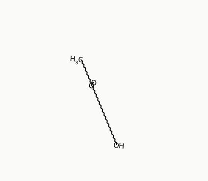 CCCCC=CCCCCCCCC(=O)OCCCCCCCCCCCCCCCCCCCCCCCCCCCCCCCO